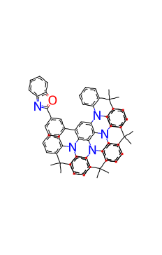 CC1(C)c2ccccc2N(c2cc(-c3cccc(-c4nc5ccccc5o4)c3)c(N3c4ccccc4C(C)(C)c4ccccc43)c(N3c4ccccc4C(C)(C)c4ccccc43)c2N2c3ccccc3C(C)(C)c3ccccc32)c2ccccc21